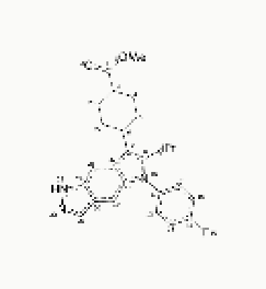 COC(=O)C1CCC(c2c(C(C)C)n(-c3ccc(F)cc3)c3cc4cn[nH]c4cc23)CC1